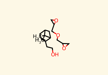 C(OCC1CO1)C1CO1.CC1(C)C2CC=C(CCO)C1C2